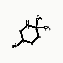 CCCC1(C(F)(F)F)CCC(C(C)C)CN1